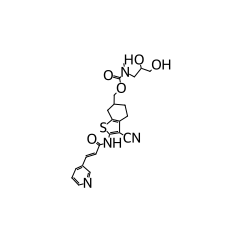 CN(CC(O)CO)C(=O)OCC1CCc2c(sc(NC(=O)C=Cc3cccnc3)c2C#N)C1